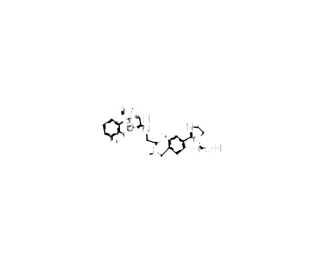 CN(Cc1ccc(C2=NCCN2C(=O)O)cc1)C(=O)CNC(=O)CN(C)S(=O)(=O)c1cccc(Cl)c1Cl